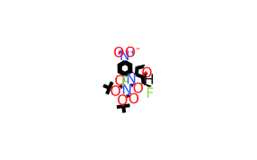 CC(C)(C)OC(=O)N(C(=O)OC(C)(C)C)C1=N[C@@]2(c3cc([N+](=O)[O-])ccc3F)CCO[C@H]2[C@@H](CF)O1